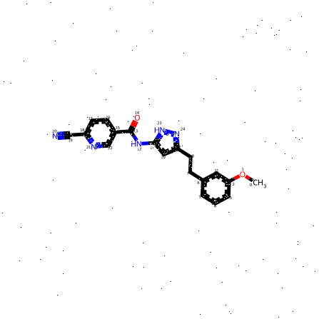 COc1cccc(CCc2cc(NC(=O)c3ccc(C#N)nc3)[nH]n2)c1